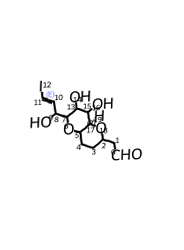 O=CCC1CCC2OC(C(O)/C=C/I)C(O)C(O)[C@H]2O1